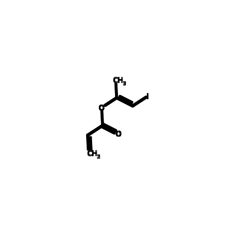 C=CC(=O)OC(C)=CI